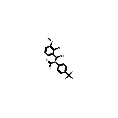 COc1cccc(C(O)N(C(=O)O)c2ccc(C(F)(F)F)cc2)c1Cl